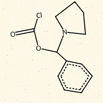 O=C(Cl)OC(c1ccccc1)N1CCCC1